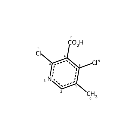 Cc1cnc(Cl)c(C(=O)O)c1Cl